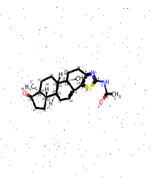 CC(=O)Nc1nc2c(s1)C1=CC[C@@H]3[C@H](CC[C@]4(C)C(=O)CC[C@@H]34)[C@@]1(C)CC2